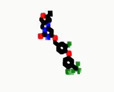 O=c1nc(OCc2ccc(Oc3ccc(Cl)c(C(F)(F)F)c3)c(F)c2)cc2n1C[C@]13CO[C@H](CN21)C3